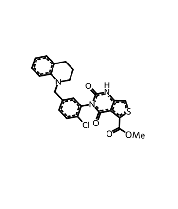 COC(=O)c1scc2[nH]c(=O)n(-c3cc(CN4CCCc5ccccc54)ccc3Cl)c(=O)c12